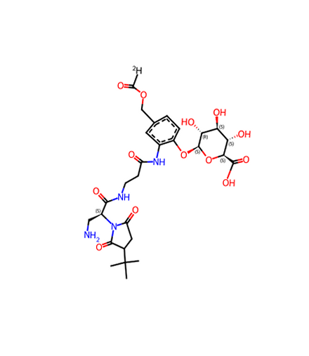 [2H]C(=O)OCc1ccc(O[C@@H]2O[C@H](C(=O)O)[C@@H](O)[C@H](O)[C@H]2O)c(NC(=O)CCNC(=O)[C@H](CN)N2C(=O)CC(C(C)(C)C)C2=O)c1